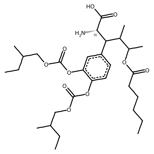 CCCCCC(=O)OC(C)C(C)C(c1ccc(OC(=O)OCC(C)CC)c(OC(=O)OCC(C)CC)c1)[C@H](N)C(=O)O